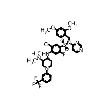 COc1ccc(CN(c2ccncn2)S(=O)(=O)c2cc(Cl)c(N[C@H]3CCN(c4cccc(C(F)(F)F)c4)CC3N(C)C)cc2F)c(OC)c1